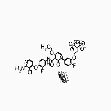 CCOc1ccn(-c2ccc(F)c(OCCC(P(=O)([O-])[O-])P(=O)([O-])[O-])c2)c(=O)c1C(=O)Nc1ccc(Oc2ccnc(N)c2Cl)c(F)c1.[Na+].[Na+].[Na+].[Na+]